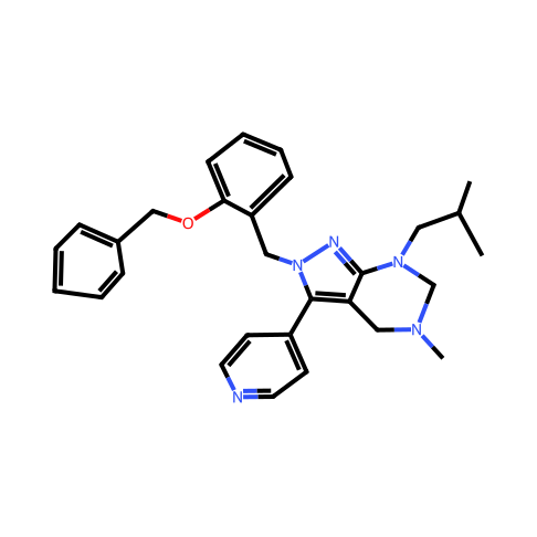 CC(C)CN1CN(C)Cc2c1nn(Cc1ccccc1OCc1ccccc1)c2-c1ccncc1